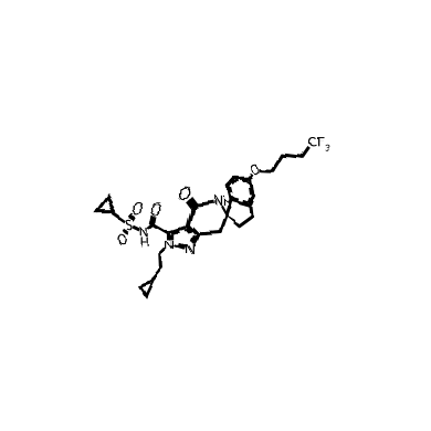 O=C1N[C@@]2(CCc3cc(OCCCC(F)(F)F)ccc32)Cc2nn(CCC3CC3)c(C(=O)NS(=O)(=O)C3CC3)c21